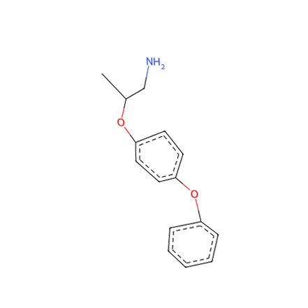 CC(CN)Oc1ccc(Oc2ccccc2)cc1